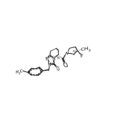 Cc1ccc(Cn2nc3n(c2=O)[C@@H](C(=O)N2CC[C@@](C)(F)C2)CCC3)cc1